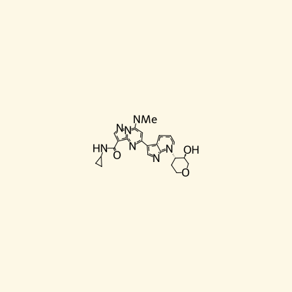 CNc1cc(-c2cnc3n([C@H]4CCOC[C@@H]4O)cccc2-3)nc2c(C(=O)NC3CC3)cnn12